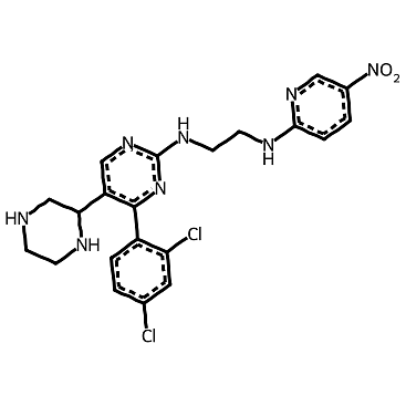 O=[N+]([O-])c1ccc(NCCNc2ncc(C3CNCCN3)c(-c3ccc(Cl)cc3Cl)n2)nc1